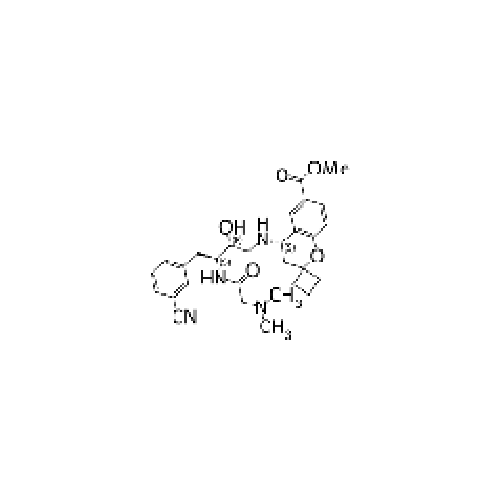 COC(=O)c1ccc2c(c1)[C@@H](NC[C@@H](O)[C@H](Cc1cccc(C#N)c1)NC(=O)CN(C)C)CC1(CCC1)O2